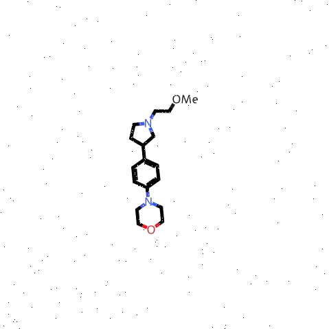 COCCN1CCC(c2ccc(N3CCOCC3)cc2)C1